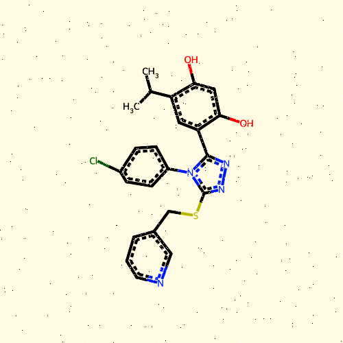 CC(C)c1cc(-c2nnc(SCc3cccnc3)n2-c2ccc(Cl)cc2)c(O)cc1O